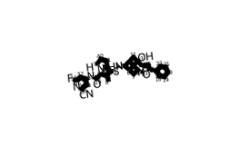 Cc1c(SNC2C3CCC34C2CC4(O)c2cc(-c3ccccc3)on2)c2n(c1C(=O)Nc1cc(F)nc(C#N)c1)CC=C2